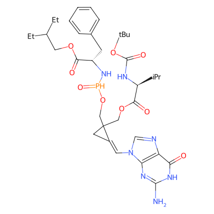 CCC(CC)COC(=O)[C@H](Cc1ccccc1)N[PH](=O)OCC1(COC(=O)[C@@H](NC(=O)OC(C)(C)C)C(C)C)C/C1=C/n1cnc2c(=O)[nH]c(N)nc21